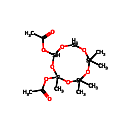 CC(=O)O[SiH]1O[SiH2]O[Si](C)(C)O[Si](C)(C)O[Si](C)(OC(C)=O)O1